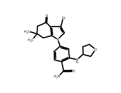 CCc1cn(-c2ccc(C(N)=O)c(NC3CCOC3)c2)c2c1C(=O)CC(C)(C)C2